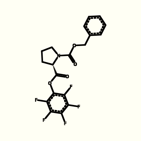 O=C(Oc1c(F)c(F)c(F)c(F)c1F)[C@@H]1CCCN1C(=O)OCc1ccccc1